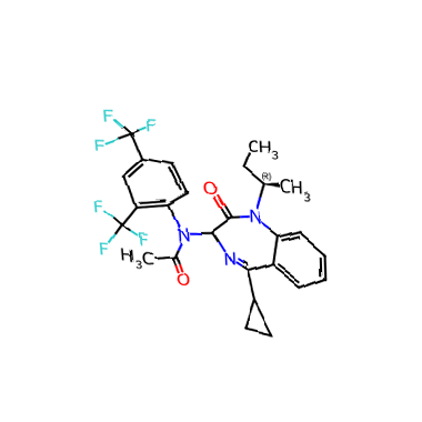 CC[C@@H](C)N1C(=O)C(N(C(C)=O)c2ccc(C(F)(F)F)cc2C(F)(F)F)N=C(C2CC2)c2ccccc21